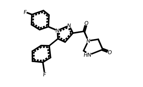 O=C1CN(C(=O)c2cc(-c3cccc(F)c3)n(-c3ccc(F)cc3)n2)CN1